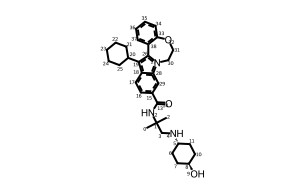 CC(C)(CN[C@H]1CC[C@H](O)CC1)NC(=O)c1ccc2c(C3CCCCC3)c3n(c2c1)CCOc1ccccc1-3